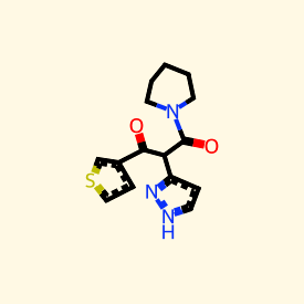 O=C(c1ccsc1)C(C(=O)N1CCCCC1)c1cc[nH]n1